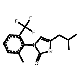 Cc1cccc(C(F)(F)F)c1N1C=C(CC(C)C)[N]C1=O